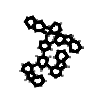 c1ccc2cc3c(cc2c1)c1ccccc1n3-c1ccc(-c2nc(-c3cccc4oc5ccccc5c34)nc(-c3cccc4oc5ccccc5c34)n2)cc1-c1ccc2sc3ccccc3c2c1